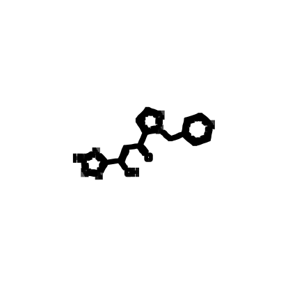 O=C(C=C(O)c1nn[nH]n1)c1ccnn1Cc1ccncc1